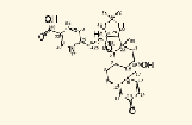 CC1(C)O[C@@H]2CC3C4CCC5=CC(=O)C=CC5(C)C4[C@@H](O)CC3(C)[C@]2(C(=O)CSc2ccc(C(=O)O)cn2)O1